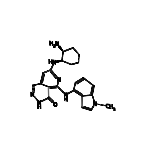 Cn1ccc2c(Nc3nc(N[C@@H]4CCCC[C@@H]4N)cc4cn[nH]c(=O)c34)cccc21